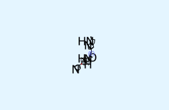 C=C1CCc2cc(/C=C/C(=O)N3C[C@@H]4CC(c5ccncc5)=C[C@@H]4C3)cnc2N1